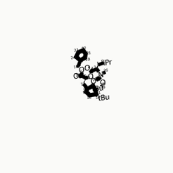 CC(C)C[C@@H](C(=O)O[C@H](Cc1ccc(C(C)(C)C)cc1)C(=O)OCc1ccccc1)N(C)C(=O)OC(C)(C)C